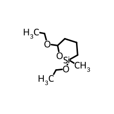 CCOC1CCC[Si](C)(OCC)O1